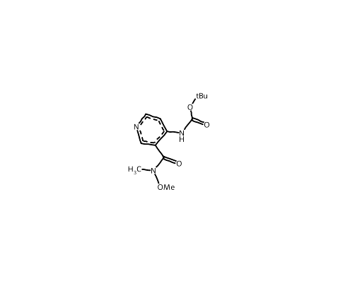 CON(C)C(=O)c1cnccc1NC(=O)OC(C)(C)C